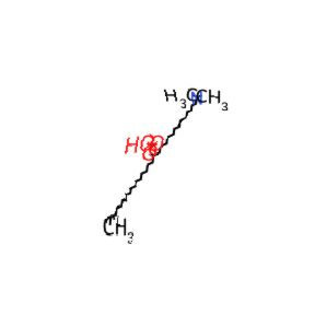 CCCCCC=CCC=CCCCCCCCC(CCCCCCC=CCCCCCN(C)C)OC(=O)O